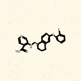 O=C(O)c1ccncc1NC[C@@H]1CCCc2cc(Sc3ccccc3F)ccc21